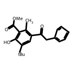 COC(=O)c1c(C)c(C(=O)Cc2ccccc2)cc(C(C)(C)C)c1O